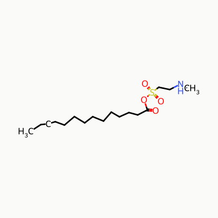 CCCCCCCCCCCCCC(=O)OS(=O)(=O)CCNC